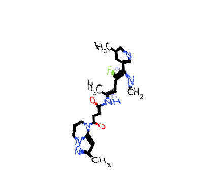 C=N/C(=C(F)\C=C(/C)NC(=O)CCC(=O)N1CCCn2nc(C)cc21)c1cncc(C)c1